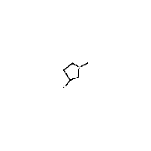 CN1CCC(Cl)C1